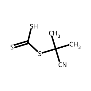 CC(C)(C#N)SC(=S)S